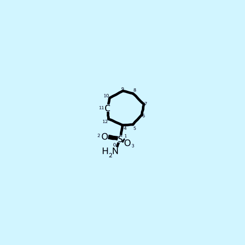 NS(=O)(=O)C1CCCCCCCC1